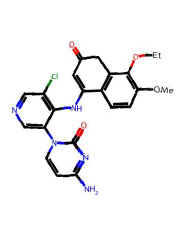 CCOc1c(OC)ccc2c1CC(=O)C=C2Nc1c(Cl)cncc1-n1ccc(N)nc1=O